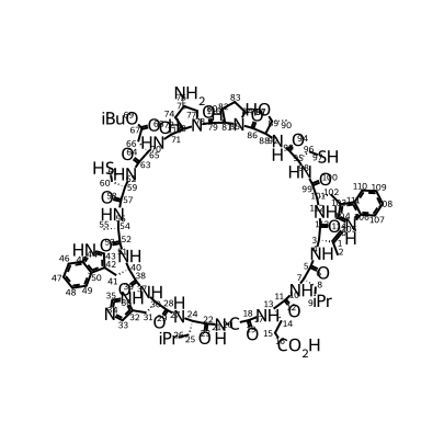 C=C(C)[C@@H]1NC(=O)[C@H](CC(C)C)NC(=O)[C@H](CCC(=O)O)NC(=O)CNC(=O)[C@H](CC(C)C)NC(=O)[C@H](Cc2cnc[nH]2)NC(=O)[C@H](Cc2c[nH]c3ccccc23)NC(=O)[C@H](C)NC(=O)[C@H](CS)NC(=O)[C@H](CC(=O)OCC(C)C)NC(=O)[C@@H]2C[C@H](N)CN2C(=O)[C@H]2CCCN2C(=O)C([C@@H](C)O)NC(=O)[C@H](CS)NC(=O)[C@H](Cc2c[nH]c3ccccc23)NC1=O